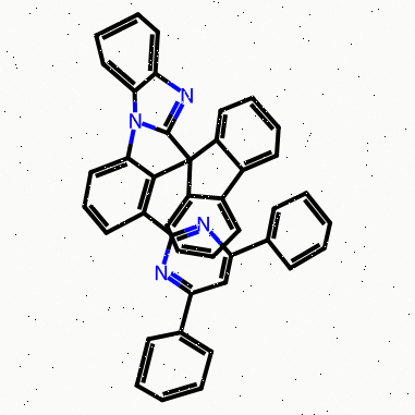 c1ccc(-c2cc(-c3ccccc3)nc(-c3cccc4c3C3(c5ccccc5-c5ccccc53)c3nc5ccccc5n3-4)n2)cc1